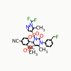 CC1=C(C#N)[C@@H](c2ccc(C#N)cc2S(C)(=O)=O)N(S(=O)(=O)c2cnn(C(F)F)c2C)C(=O)N1c1cccc(CF)c1